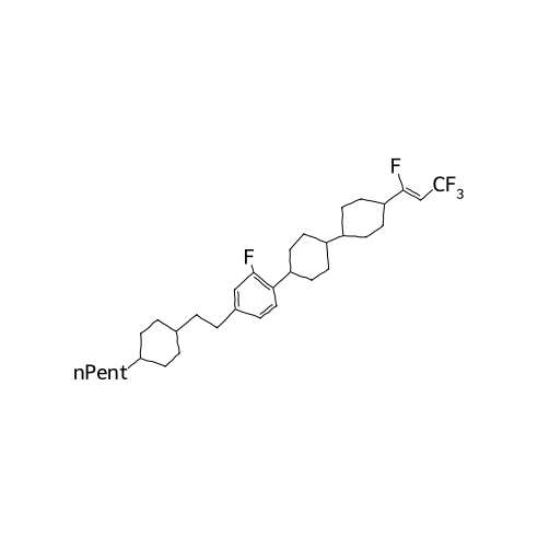 CCCCCC1CCC(CCc2ccc(C3CCC(C4CCC(/C(F)=C/C(F)(F)F)CC4)CC3)c(F)c2)CC1